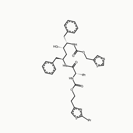 CC(C)c1nc(CCOC(=O)N[C@H](C(=O)N[C@@H](Cc2ccccc2)C[C@H](O)[C@H](Cc2ccccc2)NC(=O)OCc2cncs2)C(C)C)cs1